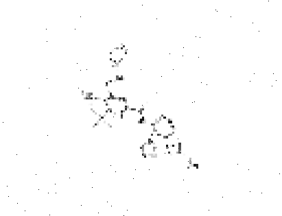 Cn1cnnc1[C@]1(c2cccc(NC(=O)c3cc(CN[C@@H]4CCOC4)c4c(n3)C(C)(C)CN4)c2)C[C@H](CC#N)C1